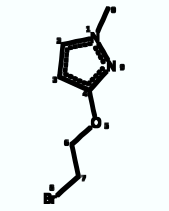 Cn1ccc(OCCBr)n1